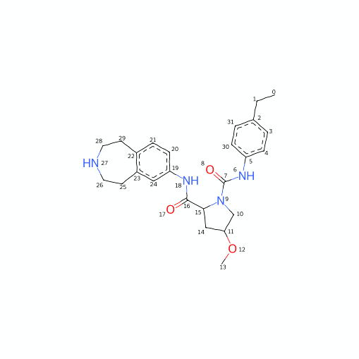 CCc1ccc(NC(=O)N2CC(OC)CC2C(=O)Nc2ccc3c(c2)CCNCC3)cc1